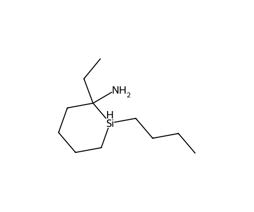 CCCC[SiH]1CCCCC1(N)CC